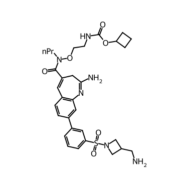 CCCN(OCCNC(=O)OC1CCC1)C(=O)C1=Cc2ccc(-c3cccc(S(=O)(=O)N4CC(CN)C4)c3)cc2N=C(N)C1